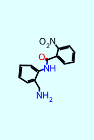 NCc1ccccc1NC(=O)c1ccccc1[N+](=O)[O-]